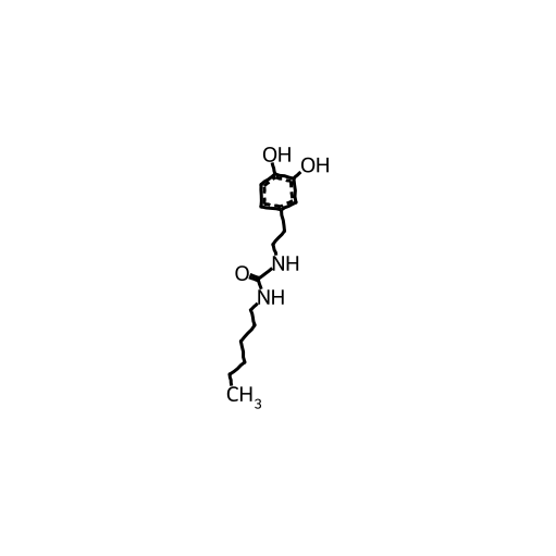 CCCCCCNC(=O)NCCc1ccc(O)c(O)c1